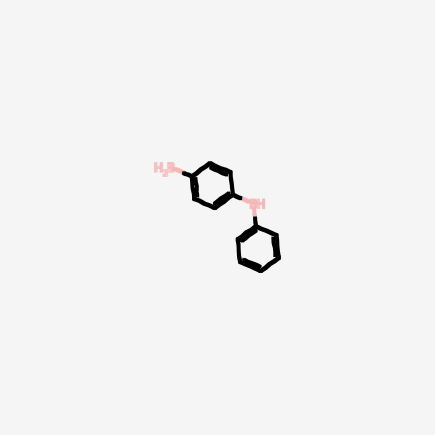 Bc1ccc(Bc2ccccc2)cc1